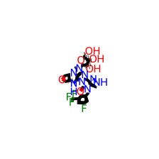 O=CN(Cc1cc(F)cc(C(F)(F)F)c1)c1c[nH]nc1-c1nc(N[C@@H]2CCOC2)c2ncn([C@@H]3O[C@H](CO)[C@H](O)[C@@H]3O)c2n1